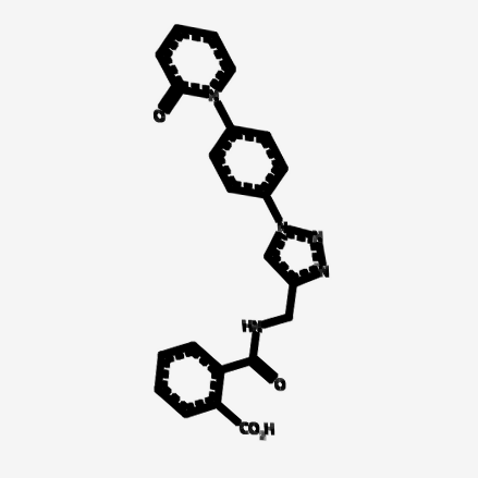 O=C(O)c1ccccc1C(=O)NCc1cn(-c2ccc(-n3ccccc3=O)cc2)nn1